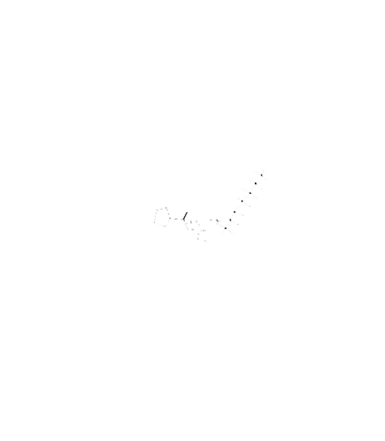 CCCCS(CCCC)(CC(=O)C1CCCC1)OS(=O)(=O)C(F)(F)C(F)(F)C(F)(F)C(F)(F)C(F)(F)C(F)(F)C(F)(F)C(F)(F)F